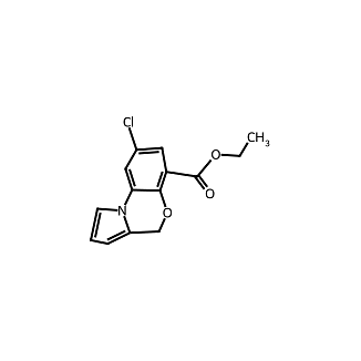 CCOC(=O)c1cc(Cl)cc2c1OCc1cccn1-2